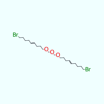 BrCCCCC=CCCCOCOCOCCCC=CCCCCBr